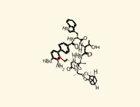 CCCCc1ccc(-c2ccc(C(=O)N[C@@H](Cc3c[nH]c4ccccc34)C(=O)N[C@H](C(=O)N[C@@H](C)C(=O)N[C@@H](CCCCN)C(=O)N[C@@H](C)B3OC4C[C@@H]5C[C@@H](C5(C)C)[C@]4(C)O3)C(C)O)cc2)cc1